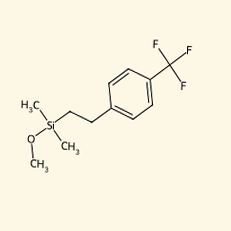 CO[Si](C)(C)CCc1ccc(C(F)(F)F)cc1